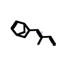 C/C(C=O)=C\C1CC2C=CC1C2